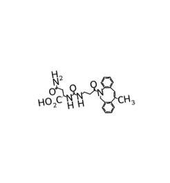 C/C1=C/c2ccccc2N(C(=O)CCNC(=O)N[C@@H](CC(N)=O)C(=O)O)Cc2ccccc21